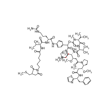 CC[C@H](C)[C@@H]([C@@H](CC(=O)N1CCC[C@H]1[C@H](OC)[C@@H](C)C(=O)N[C@@H](Cc1ccccc1)c1nccs1)OC)N(C)C(=O)[C@@H](NC(=O)[C@H](C(C)C)N(C)C(=O)OC(C(=O)N1CCN(C)CC1)c1ccc(NC(=O)[C@H](CCCNC(N)=O)NC(=O)[C@@H](NC(=O)CCCCCN2C(=O)CC(CSC)C2=O)C(C)C)cc1)C(C)C